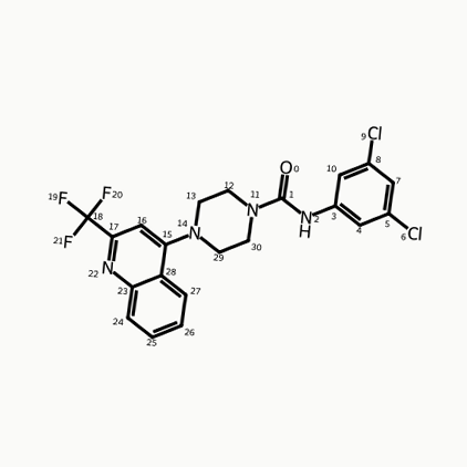 O=C(Nc1cc(Cl)cc(Cl)c1)N1CCN(c2cc(C(F)(F)F)nc3ccccc23)CC1